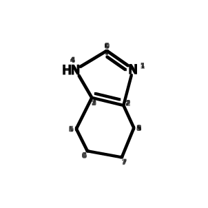 [c]1nc2c([nH]1)CCCC2